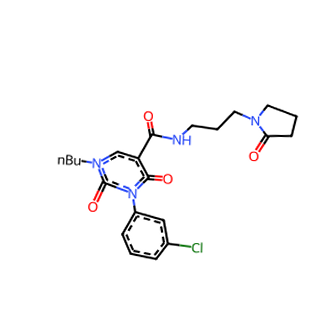 CCCCn1cc(C(=O)NCCCN2CCCC2=O)c(=O)n(-c2cccc(Cl)c2)c1=O